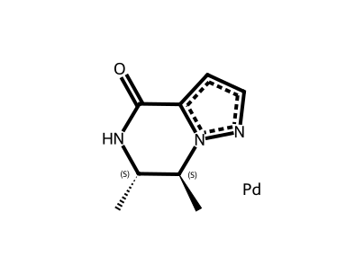 C[C@@H]1NC(=O)c2ccnn2[C@H]1C.[Pd]